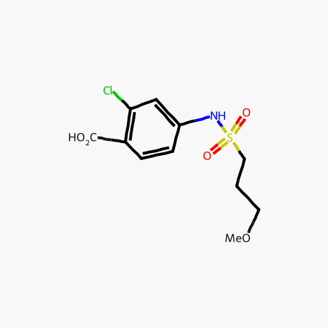 COCCCS(=O)(=O)Nc1ccc(C(=O)O)c(Cl)c1